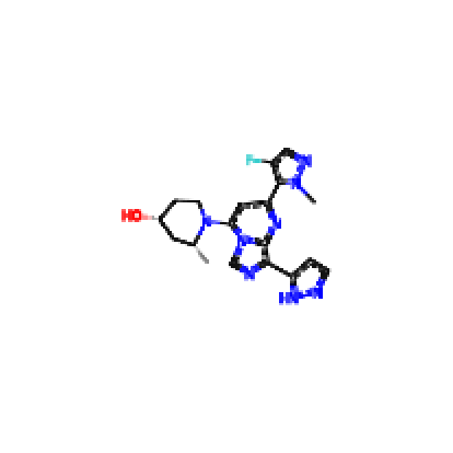 C[C@@H]1C[C@H](O)CCN1c1cc(-c2c(F)cnn2C)nc2c(-c3ccn[nH]3)ncn12